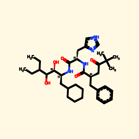 CCC(CC)C(O)[C@H](O)[C@H](CC1CCCCC1)NC(=O)[C@H](Cc1c[nH]cn1)NC(=O)[C@@H](CC(=O)C(C)(C)C)Cc1ccccc1